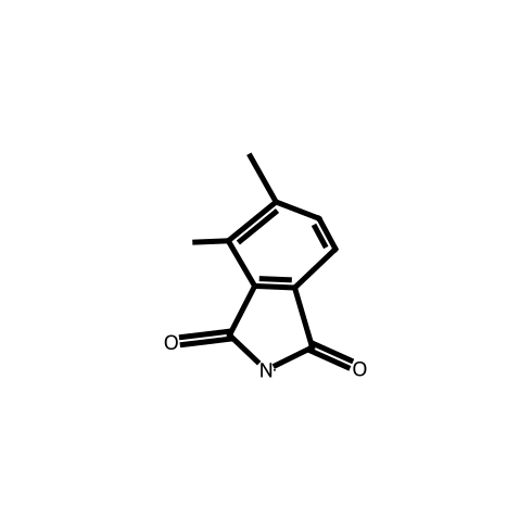 Cc1ccc2c(c1C)C(=O)[N]C2=O